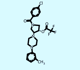 Cc1cccc(N2CCN([C@H]3CN(C(=O)c4ccc(Cl)cc4)C[C@@H]3OC(=O)C(F)(F)F)CC2)c1